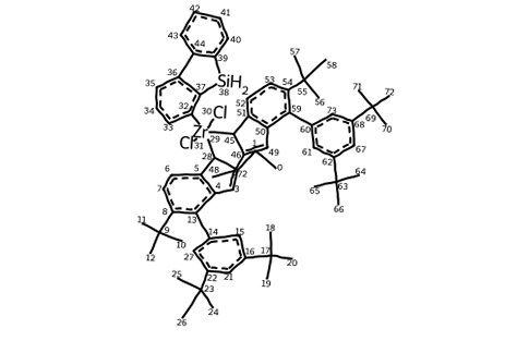 CCC1=Cc2c(ccc(C(C)(C)C)c2-c2cc(C(C)(C)C)cc(C(C)(C)C)c2)[CH]1[Zr]([Cl])([Cl])([c]1cccc2c1[SiH2]c1ccccc1-2)[CH]1C(CC)=Cc2c1ccc(C(C)(C)C)c2-c1cc(C(C)(C)C)cc(C(C)(C)C)c1